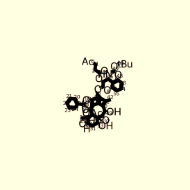 CC(=O)CCC(=O)O[C@@H](C(=O)O[C@H]1C2C[C@@]3(O)[C@@H](OC(=O)c4ccccc4)[C@@H]4[C@]5(OC(C)=O)CO[C@@H]5C[C@H](O)[C@@]4(C)C(=O)[C@H](O)C4=C(C)C1C423)[C@@H](NC(=O)OC(C)(C)C)c1ccccc1